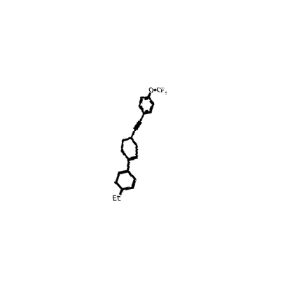 CCC1CCC(C2CCC(C#Cc3ccc(OC(F)(F)F)cc3)CC2)CC1